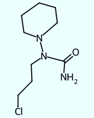 NC(=O)N(CCCCl)N1CCCCC1